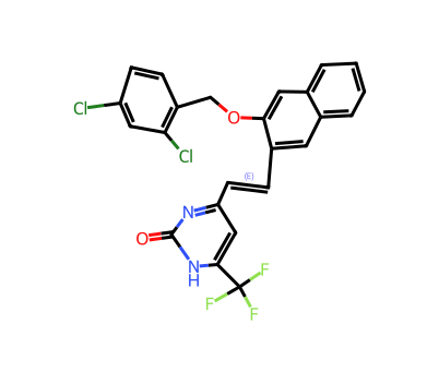 O=c1nc(/C=C/c2cc3ccccc3cc2OCc2ccc(Cl)cc2Cl)cc(C(F)(F)F)[nH]1